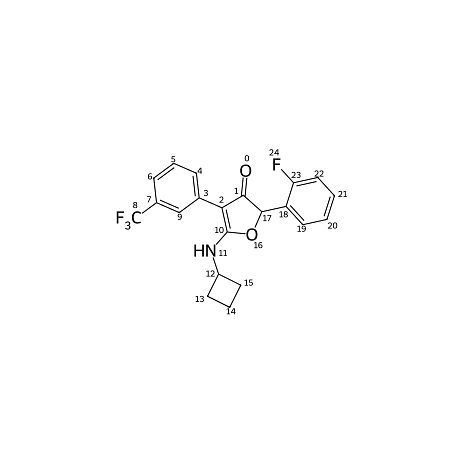 O=C1C(c2cccc(C(F)(F)F)c2)=C(NC2CCC2)OC1c1ccccc1F